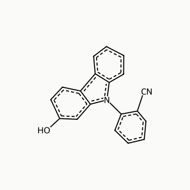 N#Cc1ccccc1-n1c2ccccc2c2ccc(O)cc21